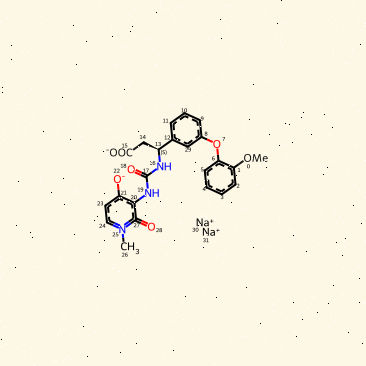 COc1ccccc1Oc1cccc([C@H](CC(=O)[O-])NC(=O)Nc2c([O-])ccn(C)c2=O)c1.[Na+].[Na+]